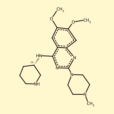 COc1cc2nc(N3CCN(C)CC3)nc(N[C@H]3CCCNC3)c2cc1OC